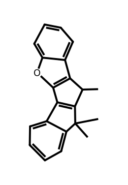 CC1C2=C(c3ccccc3C2(C)C)c2oc3ccccc3c21